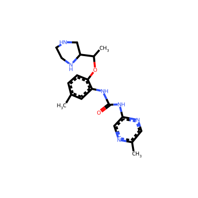 Cc1ccc(OC(C)C2CNCCN2)c(NC(=O)Nc2cnc(C)cn2)c1